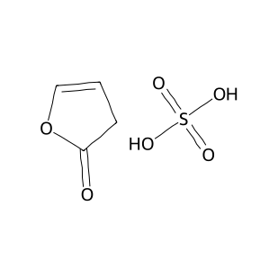 O=C1CC=CO1.O=S(=O)(O)O